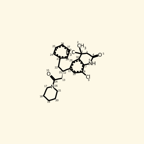 CC1(C)CC(=O)Nc2c(Cl)cc([C@H](CC(=O)N3CCCCC3)Cc3ccccc3)cc21